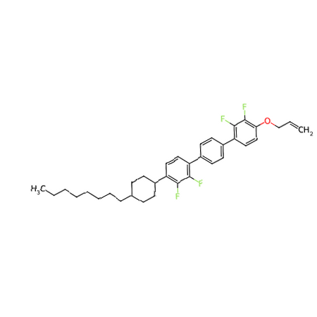 C=CCOc1ccc(-c2ccc(-c3ccc(C4CCC(CCCCCCCC)CC4)c(F)c3F)cc2)c(F)c1F